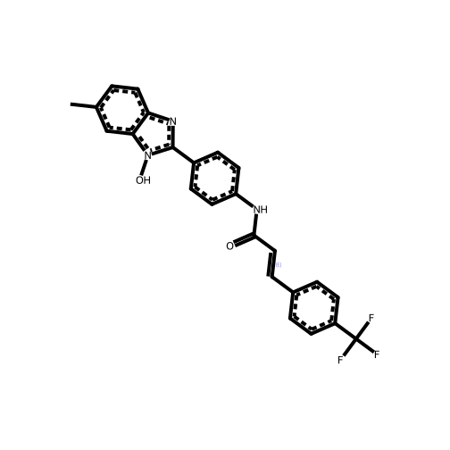 Cc1ccc2nc(-c3ccc(NC(=O)/C=C/c4ccc(C(F)(F)F)cc4)cc3)n(O)c2c1